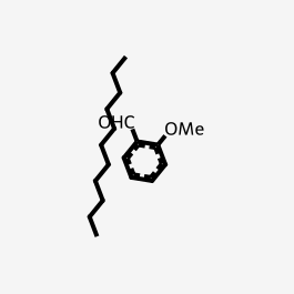 CCCCCCCCCCC.COc1ccccc1C=O